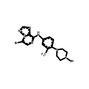 CC(C)N1CCN(c2ccc(Nc3ncc(Br)n4ncnc34)cc2C(F)(F)F)CC1